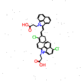 O=C(O)CCn1/c(=C\C=C2/CCCC(/C=C\C3=[N+](CCC(=O)O)c4ccc(Cl)c5cccc3c45)=C2Cl)c2cccc3cccc1c32